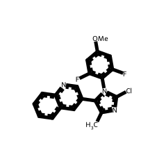 COc1cc(F)c(-n2c(Cl)nc(C)c2-c2cnc3ccccc3c2)c(F)c1